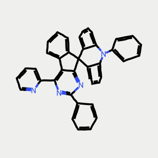 c1ccc(-c2nc(-c3ccccn3)c3c(n2)C2(c4ccccc4-3)c3ccccc3N(c3ccccc3)c3ccccc32)cc1